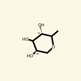 CC1OC[C@@H](O)C(O)[C@@H]1O